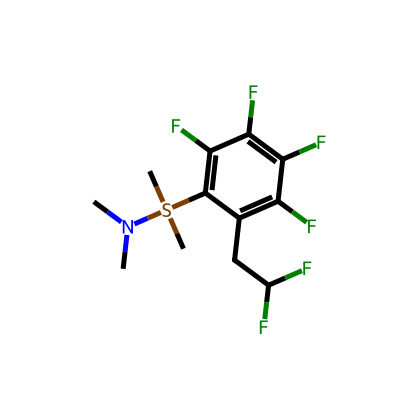 CN(C)S(C)(C)c1c(F)c(F)c(F)c(F)c1CC(F)F